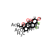 CC(=O)OCC(=O)[C@@]1(OC(C)=O)C(C)C[C@H]2[C@@H]3CC(F)C4=C(F)C(=O)C=C[C@]4(C)[C@H]3C(O)C[C@@]21C